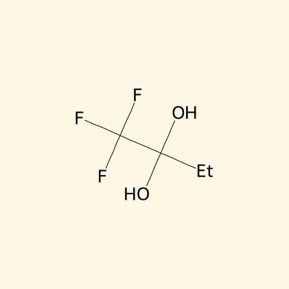 CCC(O)(O)C(F)(F)F